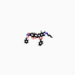 CCCCN1Cc2c(F)c3c(c(OCc4ccccc4)c2C1)C(=O)C1=C2O[C@]24C(=O)c2c(OCc5ccccc5)noc2C[C@@H]4CC1C3